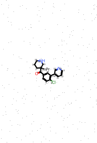 CCCC1(C(=O)c2ccc(Cl)c(-c3cccnc3)c2)CCCNC1